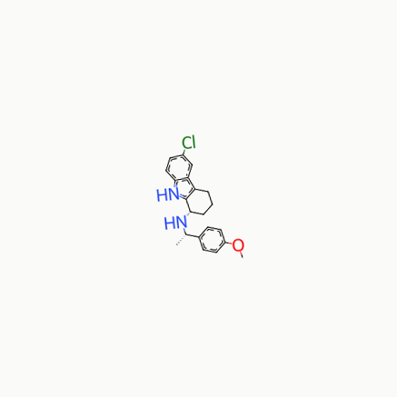 COc1ccc([C@H](C)N[C@H]2CCCc3c2[nH]c2ccc(Cl)cc32)cc1